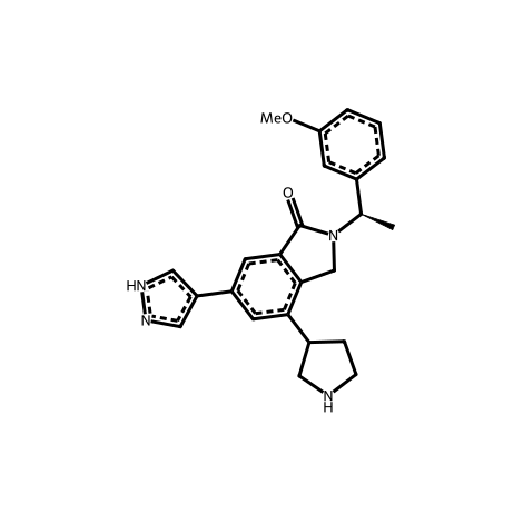 COc1cccc([C@@H](C)N2Cc3c(cc(-c4cn[nH]c4)cc3C3CCNC3)C2=O)c1